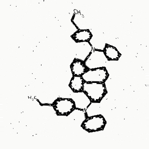 CCc1ccc(N(c2ccccc2)c2ccc3ccc4c(N(c5ccccc5)c5ccc(CC)cc5)ccc5ccc2c3c54)cc1